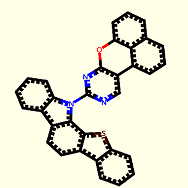 c1cc2c3c(cccc3c1)-c1cnc(-n3c4ccccc4c4ccc5c6ccccc6sc5c43)nc1O2